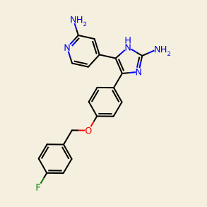 Nc1cc(-c2[nH]c(N)nc2-c2ccc(OCc3ccc(F)cc3)cc2)ccn1